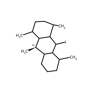 CC1CCCC2C1C(I)C1C(C)CCC(C)C1[C@@H]2C